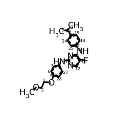 COCCOc1ccc(Nc2ncc(F)c(Nc3ccc(C(C)C)cc3)n2)cc1